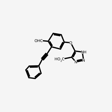 O=Cc1ccc(Oc2[nH]nnc2C(=O)O)cc1C#Cc1ccccc1